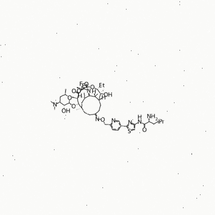 CCC(=O)/N=C1\[C@H](C)C[C@@]2(C)CC/C(=N/OCc3ccc(-c4nc(NC(=O)[C@@H](N)CC(C)C)cs4)cn3)CC[C@H]([C@H]1C)[C@](C)(O)[C@@H](CC)OC(=O)[C@@](C)(F)C(=O)[C@H](C)[C@H]2O[C@@H]1O[C@H](C)C[C@H](N(C)C)[C@H]1O